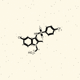 Cc1c(NS(=O)(=O)c2ccc(C(F)(F)F)cc2)c2cc(Cl)ccc2n1CC(=O)O